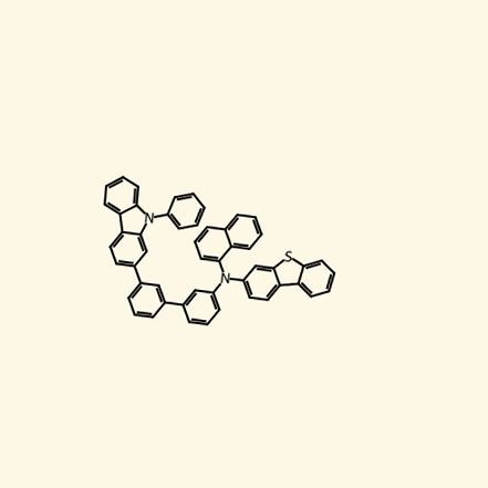 c1ccc(-n2c3ccccc3c3ccc(-c4cccc(-c5cccc(N(c6ccc7c(c6)sc6ccccc67)c6cccc7ccccc67)c5)c4)cc32)cc1